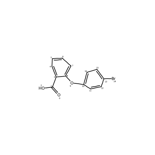 O=C(O)c1ccccc1Oc1ccc(Br)cc1